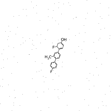 Cc1cc(C2=CC=C(O)CC2F)ccc1-c1ccc(F)cc1